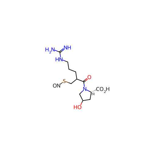 N=C(N)NCCCC(CSN=O)C(=O)N1CC(O)C[C@H]1C(=O)O